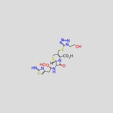 N=c1scc(CC(=O)NC2C(=O)N3C(C(=O)O)=C(CSc4nnnn4CCO)CS[C@@H]23)n1O